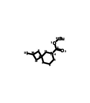 CC(C)(C)OC(=O)N1CCCC2(CC(I)C2)C1